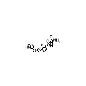 N=C(N)NC(=O)OCc1cccc(N2CC(Oc3ccc(=O)[nH]c3)C2)c1F